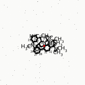 CC(C)C1N(C(=O)OC(C)(C)C)CC[C@]1(C=O)c1ccccc1N(C)c1cccc(-c2ccc(C(=O)N(C)C)c(Cl)c2)c1